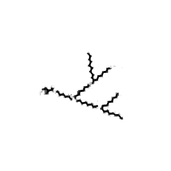 CCCCCCCCCCC(CCCCCCCC)COC(=O)CCCCCN(CCCCCCCC(=O)OC(CCCCCCCC)CCCCCCCC)CC(O)CCCCNC(=O)c1cc[nH]c1